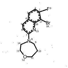 Fc1ccc2ccc(N3CCCOCC3)nc2c1Br